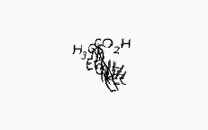 CCc1[nH]c(C(=O)N[C@H]2CN(c3nc(C)c(C(=O)O)s3)[C@@H]2CC)nc1Cl